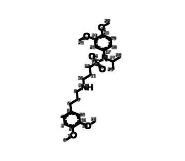 COc1ccc(CCCNCCCS(=O)(=O)N(c2ccc(OC)c(OC)c2)C(C)C)cc1OC